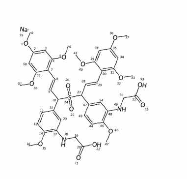 COc1cc(OC)c(C=CC(c2ccc(OC)c(NCC(=O)O)c2)S(=O)(=O)C(C=Cc2c(OC)cc(OC)cc2OC)c2ccc(OC)c(NCC(=O)O)c2)c(OC)c1.[Na]